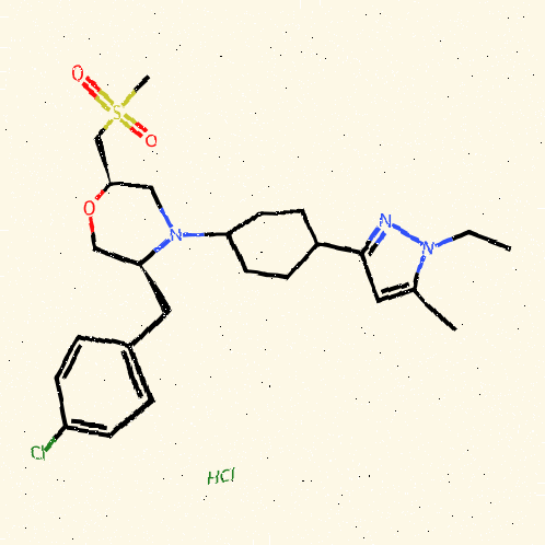 CCn1nc(C2CCC(N3C[C@H](CS(C)(=O)=O)OC[C@@H]3Cc3ccc(Cl)cc3)CC2)cc1C.Cl